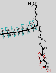 CCCCCCC(CCCCCCCC(=O)OC(CC(=O)O)C(=O)O)C(F)(F)C(F)(F)C(F)(F)C(F)(F)C(F)(F)C(F)(F)C(F)(F)C(F)(F)F